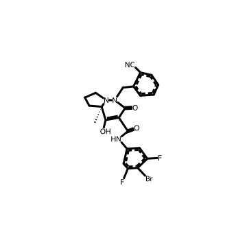 C[C@]12CCCN1N(Cc1ccccc1C#N)C(=O)C(C(=O)Nc1cc(F)c(Br)c(F)c1)=C2O